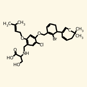 CC(C)=CCOc1cc(OCC2=C(Br)C(C3=CCC(C)(C)CC=C3)CC=C2)c(Cl)cc1CNC(CO)C(=O)O